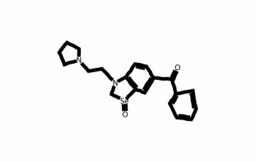 O=C(c1ccccc1)c1ccc2c(c1)[Se](=O)CN2CCN1CCCC1